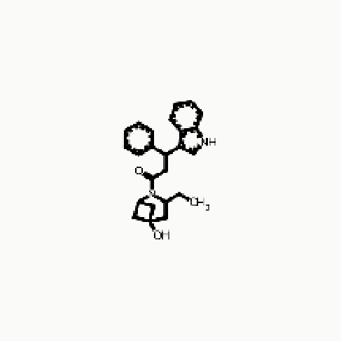 CCC1CC2(O)CC(C2)N1C(=O)CC(c1ccccc1)c1c[nH]c2ccccc12